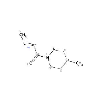 C/C=C/C(=O)N1CCC(C)CC1